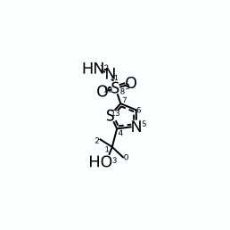 CC(C)(O)c1ncc(S(=O)(=O)N=N)s1